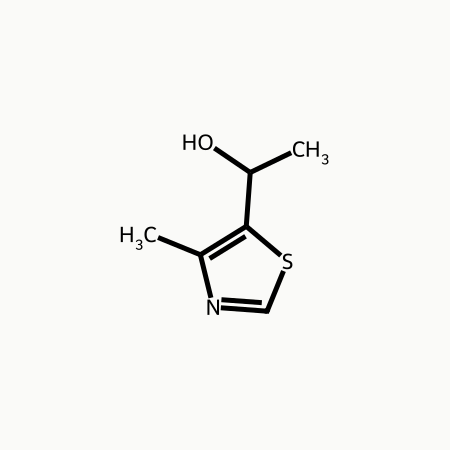 Cc1ncsc1C(C)O